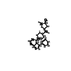 CN1CC(N(C)C2CCN(c3ncnc4scc(-c5ccccc5)c34)CC2)CC1=O